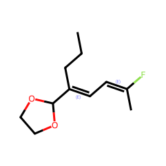 CCC/C(=C\C=C(/C)F)C1OCCO1